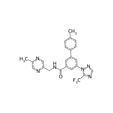 Cc1ccc(-c2cc(C(=O)NCc3cnc(C)cn3)cc(-n3ncnc3C(F)(F)F)c2)cc1